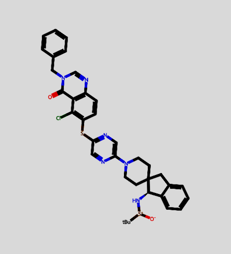 CC(C)(C)[S+]([O-])N[C@@H]1c2ccccc2CC12CCN(c1cnc(Sc3ccc4ncn(Cc5ccccc5)c(=O)c4c3Cl)cn1)CC2